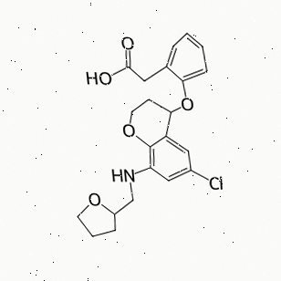 O=C(O)Cc1ccccc1OC1CCOc2c(NCC3CCCO3)cc(Cl)cc21